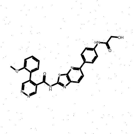 COc1ccccc1-c1cnncc1C(=O)Nc1nc2ccc(-c3ccc(NC(=O)CO)cc3)nc2s1